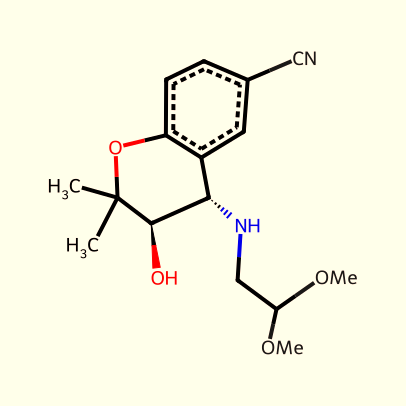 COC(CN[C@H]1c2cc(C#N)ccc2OC(C)(C)[C@@H]1O)OC